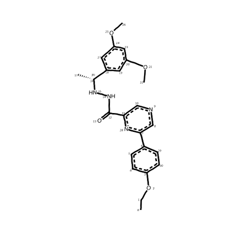 CCOc1ccc(-c2cncc(C(=O)NN[C@H](C)c3cc(OC)cc(OC)c3)n2)cc1